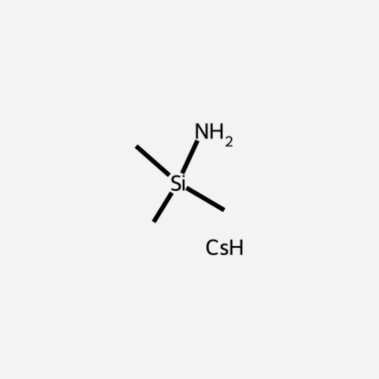 C[Si](C)(C)N.[CsH]